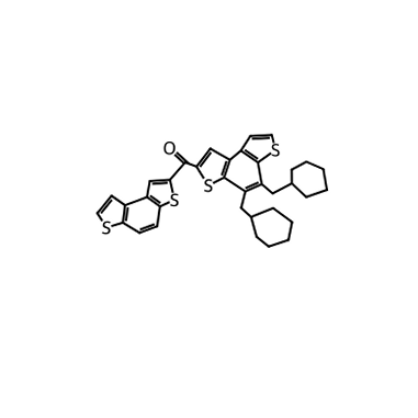 O=C(c1cc2c(ccc3sccc32)s1)c1cc2c(s1)c(CC1CCCCC1)c(CC1CCCCC1)c1sccc12